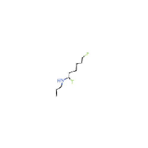 CCCNC(F)CCCCCF